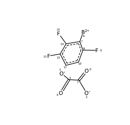 O=C([O-])C(=O)[O-].[B+2]c1c(F)ccc(F)c1F